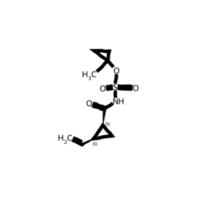 C=C[C@@H]1C[C@@H]1C(=O)NS(=O)(=O)OC1(C)CC1